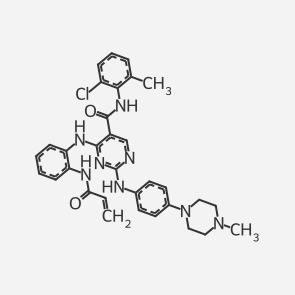 C=CC(=O)Nc1ccccc1Nc1nc(Nc2ccc(N3CCN(C)CC3)cc2)ncc1C(=O)Nc1c(C)cccc1Cl